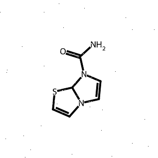 NC(=O)N1C=CN2C=CSC21